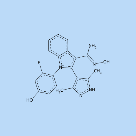 Cc1n[nH]c(C)c1-c1c(/C(N)=N/O)c2ccccc2n1-c1ccc(O)cc1F